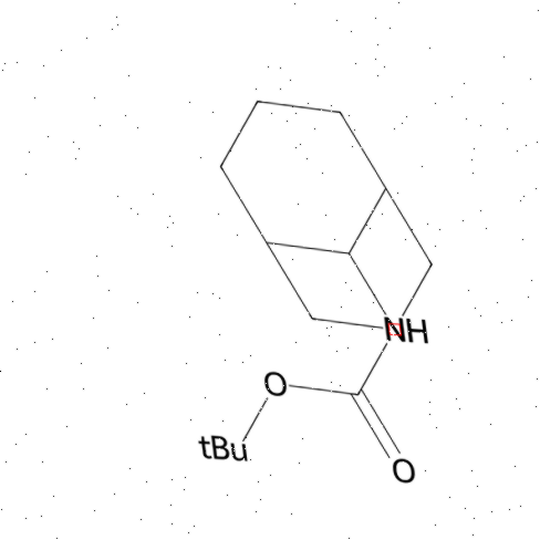 CC(C)(C)OC(=O)NC1C2CCCC1CNC2